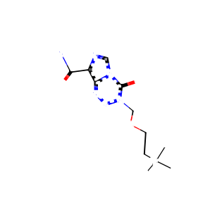 C[Si](C)(C)CCOCn1nnc2c(C(N)=O)ncn2c1=O